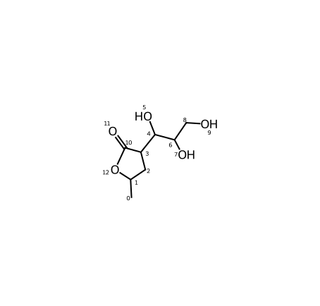 CC1CC(C(O)C(O)CO)C(=O)O1